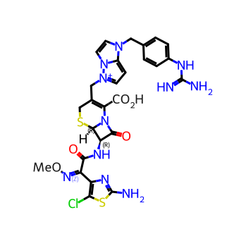 CO/N=C(\C(=O)N[C@@H]1C(=O)N2C(C(=O)O)=C(C[n+]3ccc4n(Cc5ccc(NC(=N)N)cc5)ccn43)CS[C@H]12)c1nc(N)sc1Cl